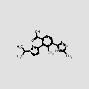 Cc1nnc(-c2ccc(C(=O)O)c(-c3ccn(C(C)C)n3)c2C)[nH]1